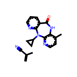 C=C(C)C#N.Cc1ccnc2c1NC(=O)c1cccnc1N2C1CC1